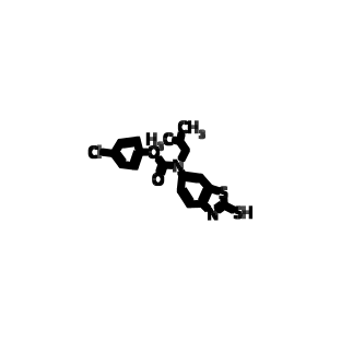 CC(C)CN(C(=O)Oc1ccc(Cl)cc1)c1ccc2nc(S)sc2c1